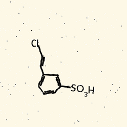 O=S(=O)(O)c1cccc(C=CCl)c1